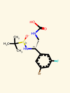 CC(C)(C)[S@@+]([O-])N[C@H](CNC(=O)O)c1cc(F)cc(Br)c1